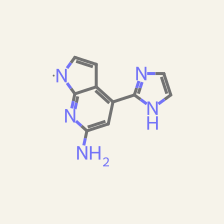 Nc1cc(-c2ncc[nH]2)c2c(n1)[N]C=C2